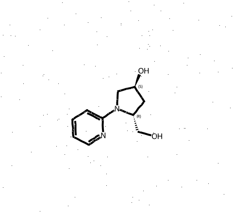 OC[C@H]1C[C@H](O)CN1c1cc[c]cn1